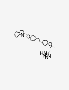 CC(CCc1nnn[nH]1)Oc1ccc(CCc2ccc(OCc3ccc4ccccc4n3)cc2)cc1